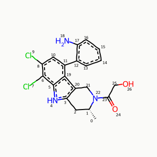 C[C@@H]1Cc2[nH]c3c(Cl)c(Cl)cc(-c4ccccc4N)c3c2CN1C(=O)CO